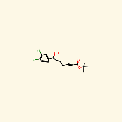 CC(C)(C)OC(=O)C#CCCCC(O)c1ccc(Cl)c(Cl)c1